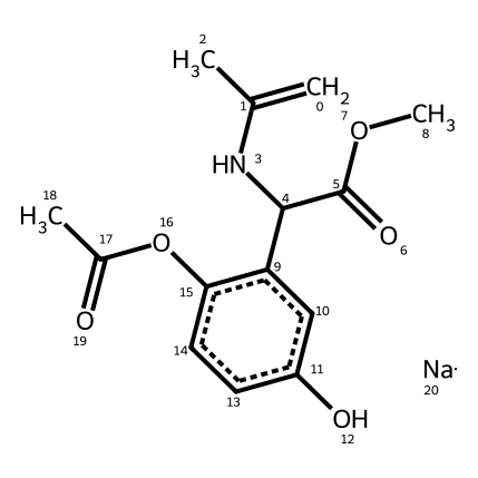 C=C(C)NC(C(=O)OC)c1cc(O)ccc1OC(C)=O.[Na]